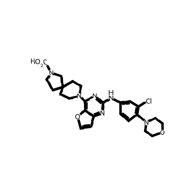 O=C(O)N1CCC2(CCN(c3nc(Nc4ccc(N5CCOCC5)c(Cl)c4)nc4ccoc34)CC2)C1